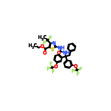 CCOC(=O)c1sc(NC(=O)NC(Cc2ccccc2)(c2cccc(OC(F)(F)F)c2)c2cccc(OC(F)(F)F)c2)nc1C(C)(F)F